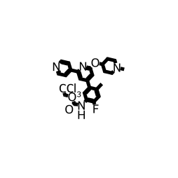 Cc1cc(F)c(NC(=O)OCC(Cl)(Cl)Cl)cc1-c1cc(OC2CCN(C)CC2)nc(-c2ccncc2)c1